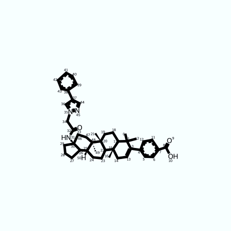 CC1(C)C(c2ccc(C(=O)O)cc2)=CC[C@@]2(C)C1CC[C@]1(C)C2CC[C@@H]2C3CCC[C@]3(NC(=O)Cn3cc(-c4ccccc4)cn3)CC[C@]21C